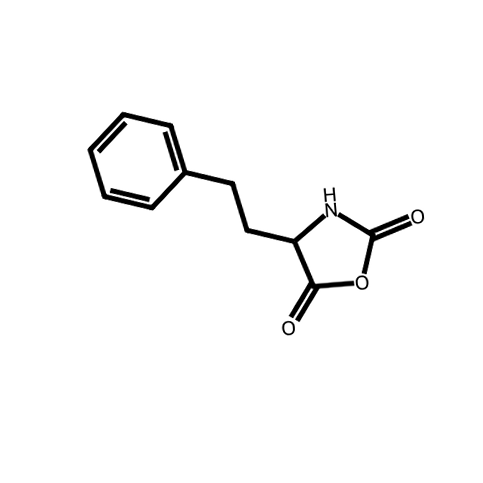 O=C1NC(CCc2ccccc2)C(=O)O1